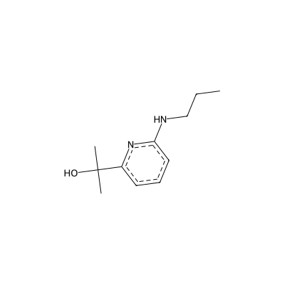 CCCNc1cccc(C(C)(C)O)n1